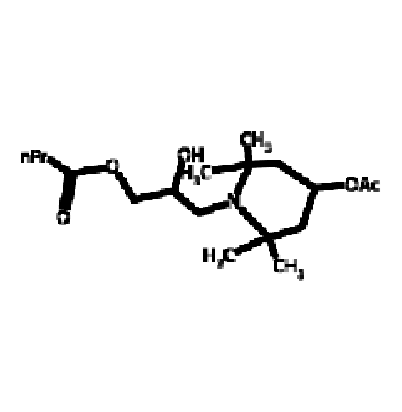 CCCC(=O)OCC(O)CN1C(C)(C)CC(OC(C)=O)CC1(C)C